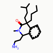 CCCCC1(CCC(C)C)C(=O)N(C)C(CCN)c2ccccc21